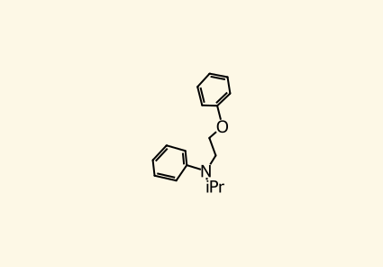 CC(C)N(CCOc1ccccc1)c1ccccc1